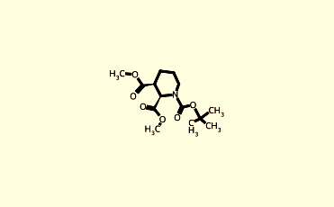 COC(=O)[C@H]1CCCN(C(=O)OC(C)(C)C)[C@H]1C(=O)OC